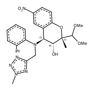 COC(OC)[C@@]1(C)Oc2ccc([N+](=O)[O-])cc2[C@H](N(Cc2nnn(C)n2)c2ccccc2C(C)C)[C@H]1O